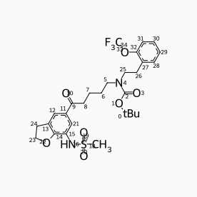 CC(C)(C)OC(=O)N(CCCCC(=O)c1cc2c(c(NS(C)(=O)=O)c1)OCC2)CCc1ccccc1OC(F)(F)F